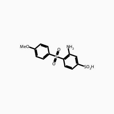 COc1ccc(S(=O)(=O)c2ccc(S(=O)(=O)O)cc2N)cc1